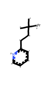 CC(C)C(C)(C)CCc1ccccn1